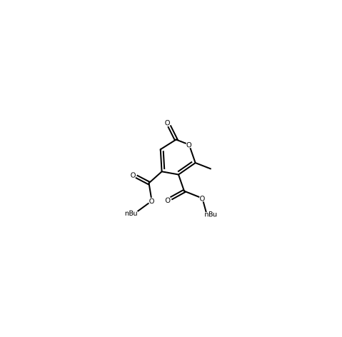 CCCCOC(=O)c1cc(=O)oc(C)c1C(=O)OCCCC